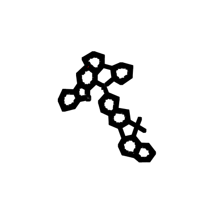 CC1(C)c2cc3cc(N(c4ccccc4-c4ccccc4)c4cccc5c4oc4ccccc45)ccc3cc2-c2ccc3ccccc3c21